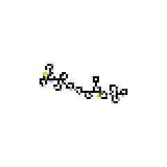 C=C(/C=c1\c(=C(/C)c2ccccc2)sc2ccccc12)c1c2ccccc2c(-c2ccc(-c3ccc(-c4cccc(-c5cc(-c6ccccc6)cc6c5sc5ccc(-c7c8ccccc8c(-c8ccccc8)c8ccccc78)cc56)c4)cc3)cc2)c2ccccc12